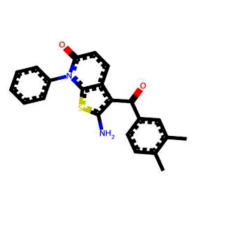 Cc1ccc(C(=O)c2c(N)sc3c2ccc(=O)n3-c2ccccc2)cc1C